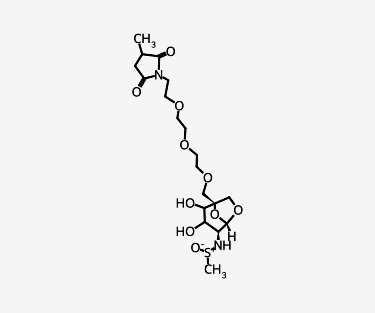 CC1CC(=O)N(CCOCCOCCOC[C@@]23CO[C@@H](O2)[C@@H](N[S+](C)[O-])C(O)C3O)C1=O